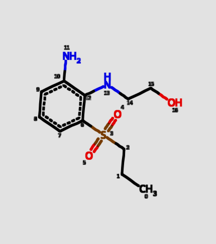 CCCS(=O)(=O)c1cccc(N)c1NCCO